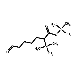 C[Si](C)(C)OC(=O)N(CCCC[C]=O)[Si](C)(C)C